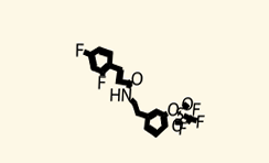 O=C(C=Cc1ccc(F)cc1F)NCCc1cccc(OS(=O)(=O)C(F)(F)F)c1